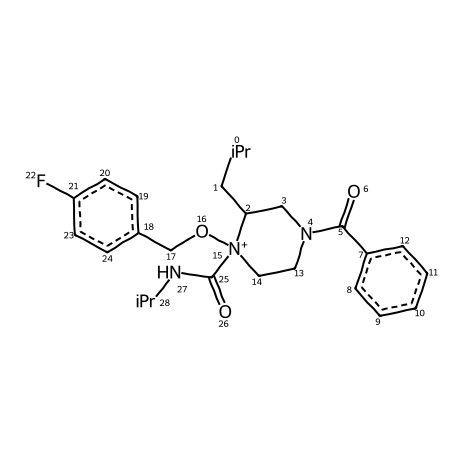 CC(C)CC1CN(C(=O)c2ccccc2)CC[N+]1(OCc1ccc(F)cc1)C(=O)NC(C)C